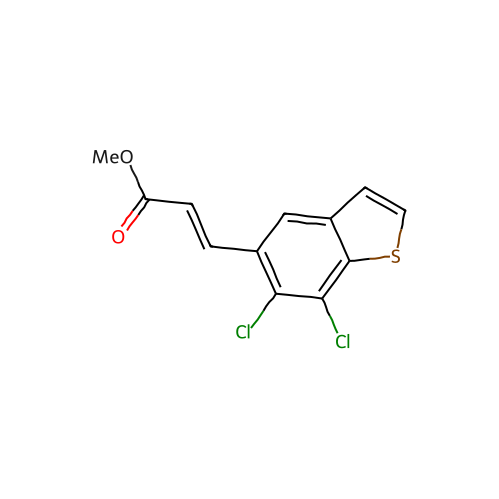 COC(=O)C=Cc1cc2ccsc2c(Cl)c1Cl